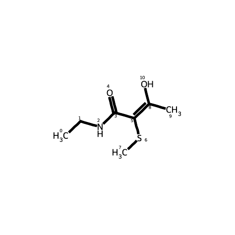 CCNC(=O)/C(SC)=C(/C)O